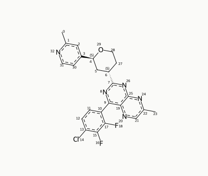 Cc1cc([C@@H]2C[C@@H](c3nc(-c4ccc(Cl)c(F)c4F)c4ncc(C)nc4n3)CCO2)ccn1